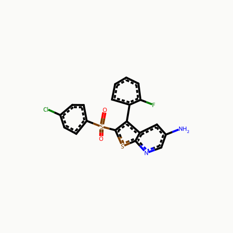 Nc1cnc2sc(S(=O)(=O)c3ccc(Cl)cc3)c(-c3ccccc3F)c2c1